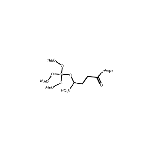 CCCCCCCC(=O)CCC(O[Si](OOC)(OOC)OOC)S(=O)(=O)O